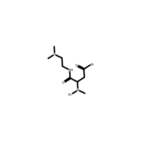 CC(=O)N(C)C(CC(=O)C(C)C)C(=O)NCCN(C)C